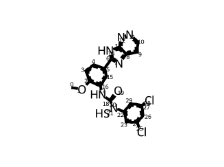 COc1ccc(-c2nc3ccnnc3[nH]2)cc1NC(=O)N(S)c1cc(Cl)cc(Cl)c1